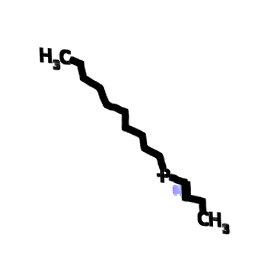 CC/C=C/[P]CCCCCCCCCC